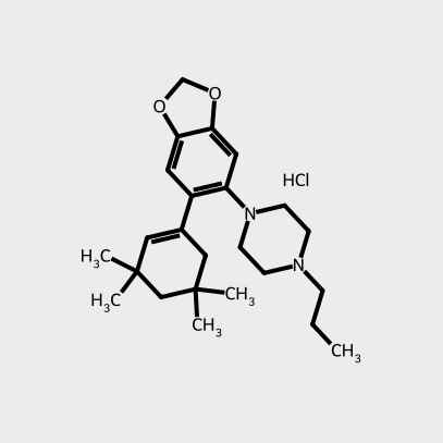 CCCN1CCN(c2cc3c(cc2C2=CC(C)(C)CC(C)(C)C2)OCO3)CC1.Cl